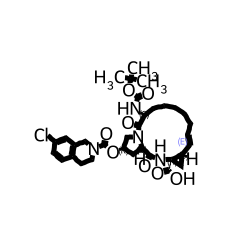 CC(C)(C)OC(=O)N[C@H]1CCCCC/C=C/[C@@H]2C[C@@]2(C(=O)O)NC(=O)[C@@H]2C[C@@H](OC(=O)N3CCc4ccc(Cl)cc4C3)CN2C1=O